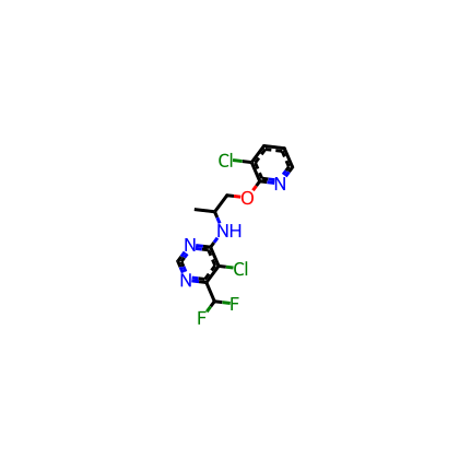 CC(COc1ncccc1Cl)Nc1ncnc(C(F)F)c1Cl